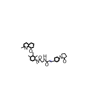 Cc1ccc2cccc(OCc3c(C)ccc(N(C)C(=O)CNC(=O)/C=C/c4ccc(N5CCCC5=O)cc4)c3C)c2n1